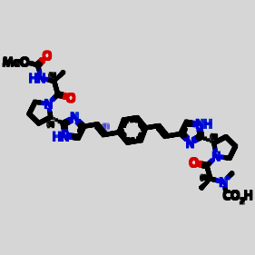 COC(=O)N[C@@H](C)C(=O)N1CCC[C@H]1c1nc(/C=C/c2ccc(C=Cc3c[nH]c([C@@H]4CCCN4C(=O)[C@H](C)N(C)C(=O)O)n3)cc2)c[nH]1